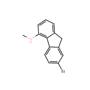 CBc1cccc2c1-c1ccc(CC)cc1C2